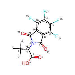 CC(C)(C)[C@@H](C(=O)O)N1C(=O)c2c(F)c(F)c(F)c(F)c2C1=O